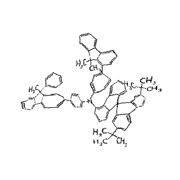 CC(C)(C)c1ccc2c(c1)C1(c3cc(C(C)(C)C)ccc3-2)c2ccccc2-c2c(N(c3ccc(-c4ccc5c(c4)C(C)(c4ccccc4)c4ccccc4-5)cc3)c3ccc(-c4cccc5c4C(C)(C)c4ccccc4-5)cc3)cccc21